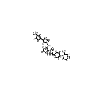 O=C(Nc1ccc(N2CCOCC2=O)cc1)C1CCCN1Cc1cc(-c2ccc(Cl)s2)on1